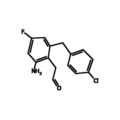 Nc1cc(F)cc(Cc2ccc(Cl)cc2)c1CC=O